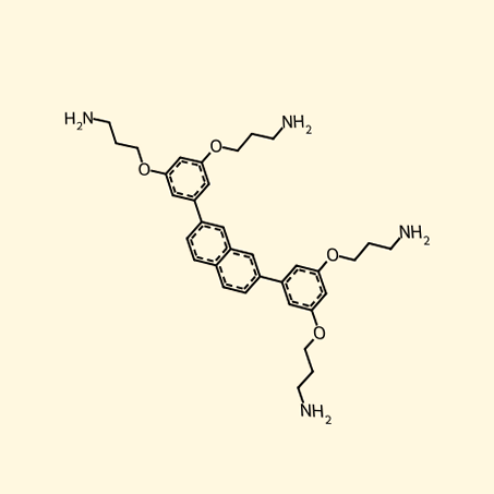 NCCCOc1cc(OCCCN)cc(-c2ccc3ccc(-c4cc(OCCCN)cc(OCCCN)c4)cc3c2)c1